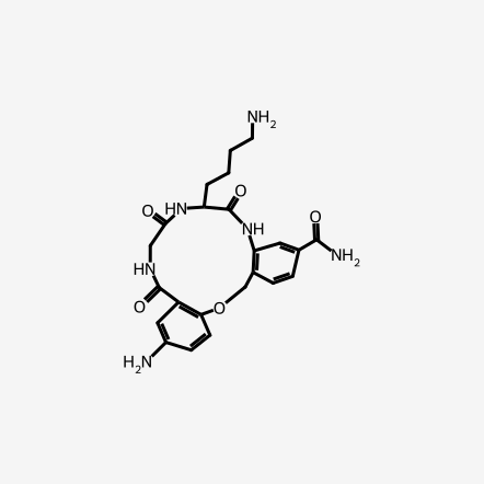 NCCCCC1NC(=O)CNC(=O)c2cc(N)ccc2OCc2ccc(C(N)=O)cc2NC1=O